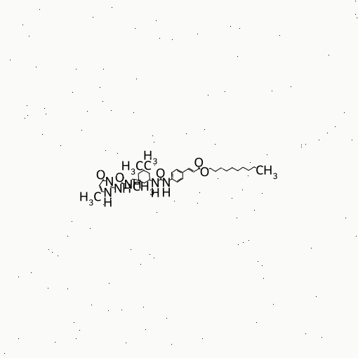 CCCCCCCCCCOC(=O)/C=C/c1ccc(NC(=O)NC2CC(C)(C)CC(C)(CNC(=O)Nc3nc(=O)cc(C)[nH]3)C2)cc1